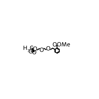 COC(=O)c1ccccc1CCOCCOCCOS(C)(=O)=O